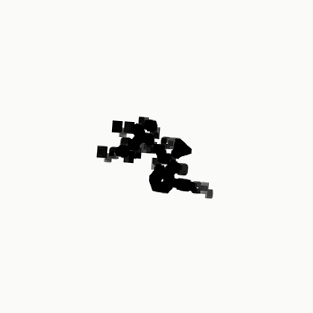 CC#Cc1cccc2nc([C@H](C)Nc3ncnc(N)c3-c3nnc(C)o3)n(C3CC3)c(=O)c12